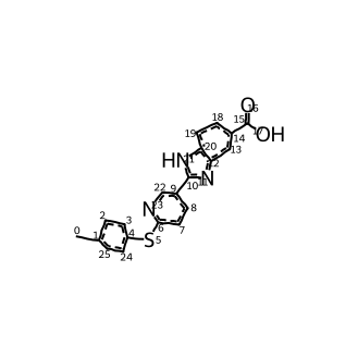 Cc1ccc(Sc2ccc(-c3nc4cc(C(=O)O)ccc4[nH]3)cn2)cc1